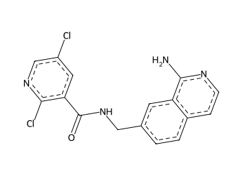 Nc1nccc2ccc(CNC(=O)c3cc(Cl)cnc3Cl)cc12